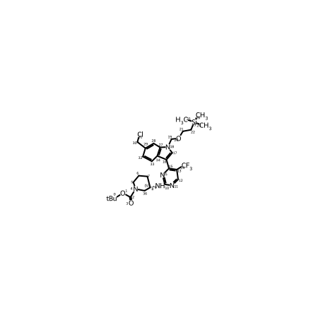 CC(C)(C)OC(=O)N1CCC[C@H](Nc2ncc(C(F)(F)F)c(-c3cn(COCC[Si](C)(C)C)c4cc(CCl)ccc34)n2)C1